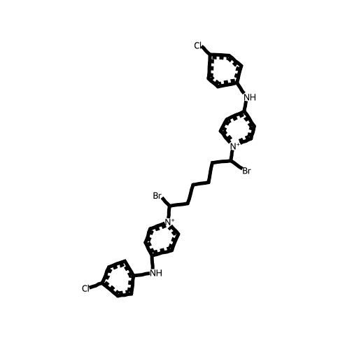 Clc1ccc(Nc2cc[n+](C(Br)CCCCC(Br)[n+]3ccc(Nc4ccc(Cl)cc4)cc3)cc2)cc1